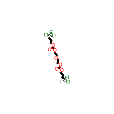 O=C(OCCC[Si](Cl)(Cl)Cl)OCCOCCOC(=O)OCCC[Si](Cl)(Cl)Cl